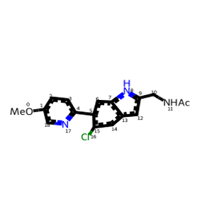 COc1ccc(-c2cc3[nH]c(CNC(C)=O)cc3cc2Cl)nc1